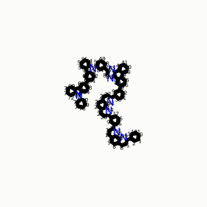 c1ccc(-c2ccc3ccc4ccc(-c5cccc(-c6ccc7ccc8ccc(-c9cccc(-c%10ccc%11c%12ccccc%12c%12nc(-c%13cccc(-n%14c%15ccccc%15c%15cc(-c%16ccc%17c(c%16)c%16ccccc%16n%17-c%16ccccc%16)ccc%15%14)c%13)cnc%12c%11c%10)c9)nc8c7n6)c5)nc4c3n2)cc1